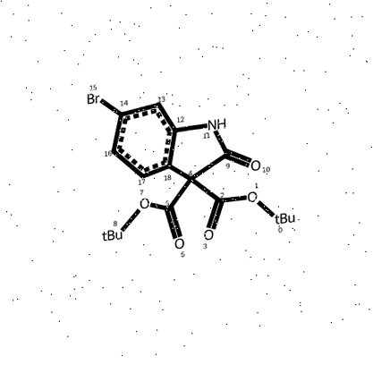 CC(C)(C)OC(=O)C1(C(=O)OC(C)(C)C)C(=O)Nc2cc(Br)ccc21